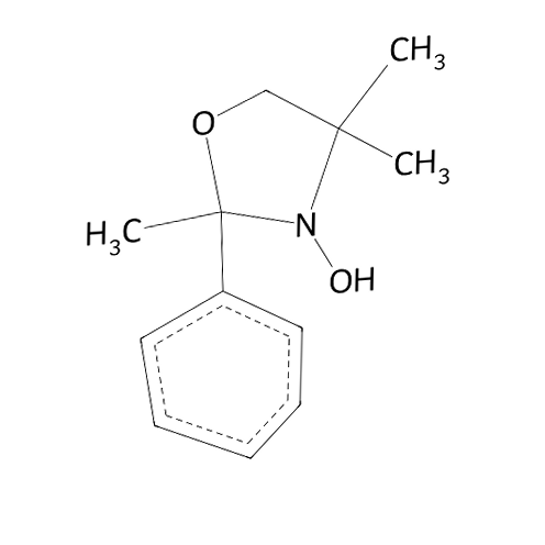 CC1(C)COC(C)(c2ccccc2)N1O